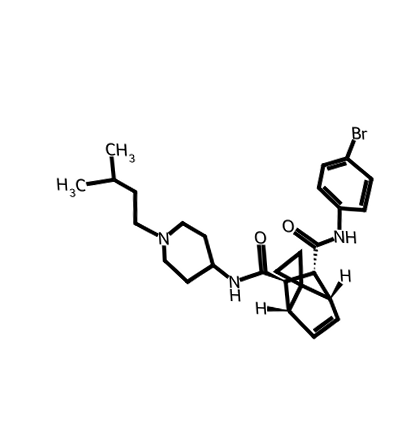 CC(C)CCN1CCC(NC(=O)[C@H]2[C@H](C(=O)Nc3ccc(Br)cc3)[C@@H]3C=C[C@H]2C32CC2)CC1